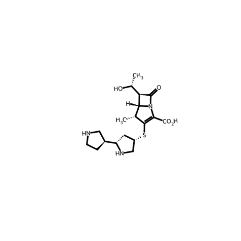 C[C@@H](O)[C@H]1C(=O)N2C(C(=O)O)=C(S[C@@H]3CN[C@H]([C@H]4CCNC4)C3)[C@H](C)[C@H]12